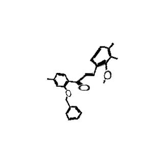 COc1c(/C=C/C(=O)c2ccc(C)cc2OCc2ccccc2)ccc(C)c1C